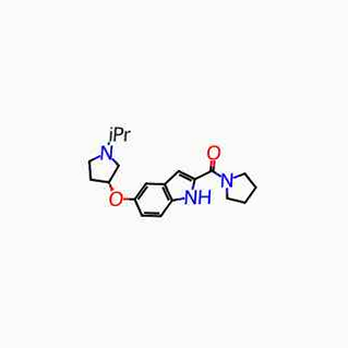 CC(C)N1CC[C@H](Oc2ccc3[nH]c(C(=O)N4CCCC4)cc3c2)C1